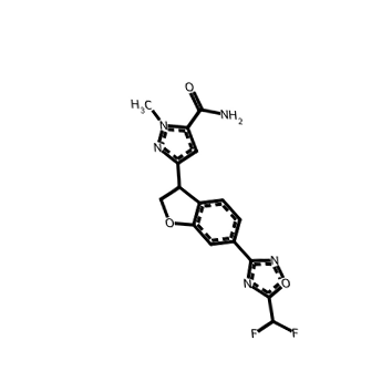 Cn1nc(C2COc3cc(-c4noc(C(F)F)n4)ccc32)cc1C(N)=O